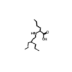 CCCCC(NCCC(CCC)CCC)C(=O)O